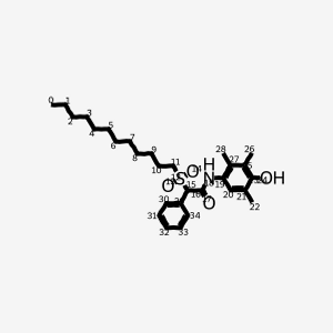 CCCCCCCCCCCCS(=O)(=O)C(C(=O)Nc1cc(C)c(O)c(C)c1C)c1ccccc1